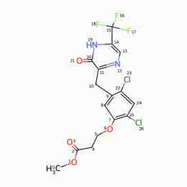 COC(=O)CCOc1cc(Cc2ncc(C(F)(F)F)[nH]c2=O)c(Cl)cc1Cl